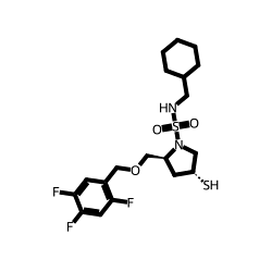 O=S(=O)(NCC1CCCCC1)N1C[C@H](S)C[C@H]1COCc1cc(F)c(F)cc1F